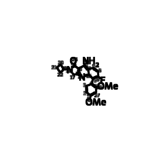 COc1ccc(-c2c(F)ccc3c(N)c4c(nc23)CN(C2CCC2)C4=O)c(OC)c1